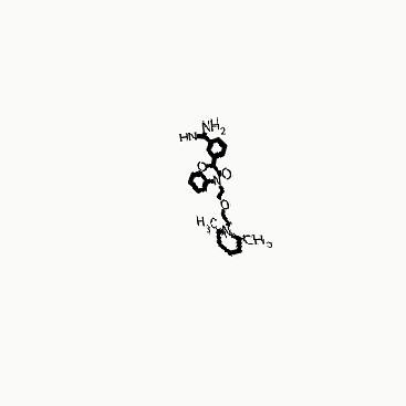 C[C@@H]1CCC[C@H](C)N1CCOCCN1C(=O)C(c2cccc(C(=N)N)c2)Oc2ccccc21